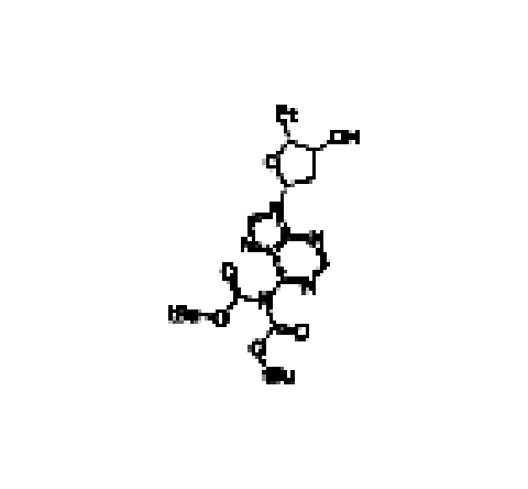 CC[C@H]1O[C@@H](n2cnc3c(N(C(=O)OC(C)(C)C)C(=O)OC(C)(C)C)ncnc32)CC1O